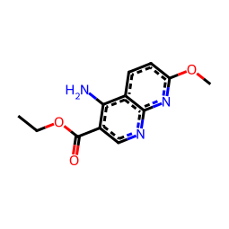 CCOC(=O)c1cnc2nc(OC)ccc2c1N